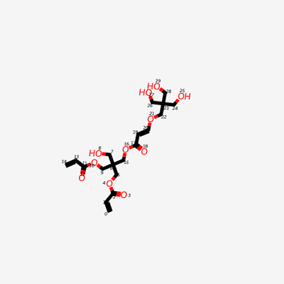 C=CC(=O)OCC(CO)(COC(=O)C=C)COC(=O)C=COCC(CO)(CO)CO